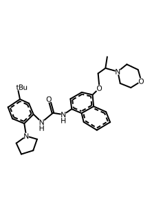 CC(COc1ccc(NC(=O)Nc2cc(C(C)(C)C)ccc2N2CCCC2)c2ccccc12)N1CCOCC1